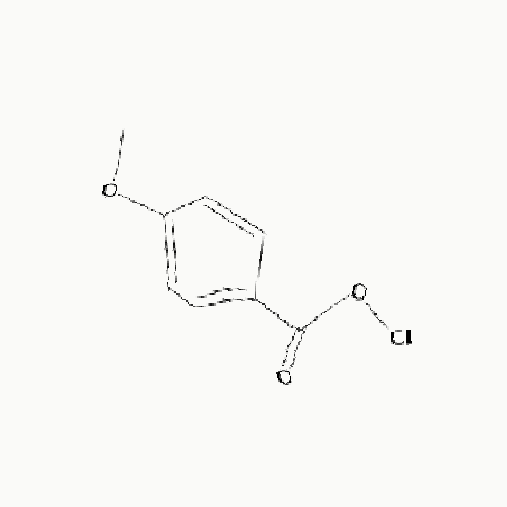 COc1ccc(C(=O)OCl)cc1